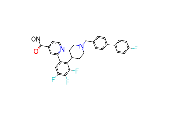 O=NC(=O)c1ccnc(-c2cc(F)c(F)c(F)c2C2CCN(Cc3ccc(-c4ccc(F)cc4)cc3)CC2)c1